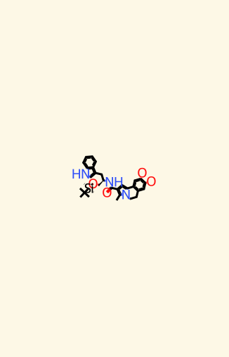 COc1cc2c(cc1OC)-c1cc(C(=O)N[C@@H](CO[Si](C)(C)C(C)(C)C)Cc3c[nH]c4ccccc34)c(C)n1CC2